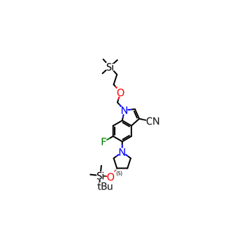 CC(C)(C)[Si](C)(C)O[C@H]1CCN(c2cc3c(C#N)cn(COCC[Si](C)(C)C)c3cc2F)C1